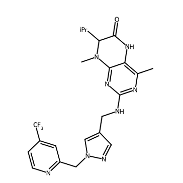 Cc1nc(NCc2cnn(Cc3cc(C(F)(F)F)ccn3)c2)nc2c1NC(=O)C(C(C)C)N2C